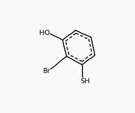 Oc1cccc(S)c1Br